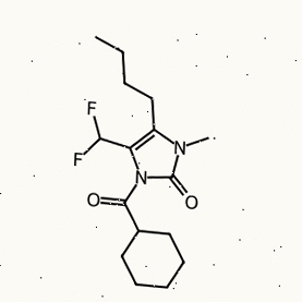 [CH2]n1c(CCCC)c(C(F)F)n(C(=O)C2CCCCC2)c1=O